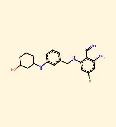 N=Cc1c(N)cc(Br)cc1NCc1cccc(NC2CCCC(O)C2)c1